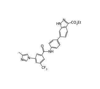 CCOC(=O)c1n[nH]c2cc(-c3ccc(NC(=O)c4cc(-n5cnc(C)c5)cc(C(F)(F)F)c4)cc3)ccc12